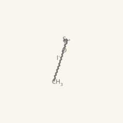 CCCCCCCCCCCCCCCCCCCCOCCCC[n+]1ccsc1.[I-]